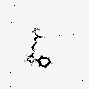 CC(C)(C)NC(=O)CCCSc1nnnn1-c1ccccc1